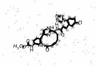 COC(=O)Nc1ccc2c(c1)NC(=O)C=CCC[C@H](NC(=O)C=Cc1cc(Cl)ccc1-n1cnnn1)c1nc-2c[nH]1